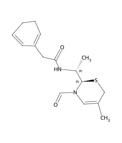 CC1=CN(C=O)[C@@H]([C@@H](C)NC(=O)CC2=CCCC=C2)SC1